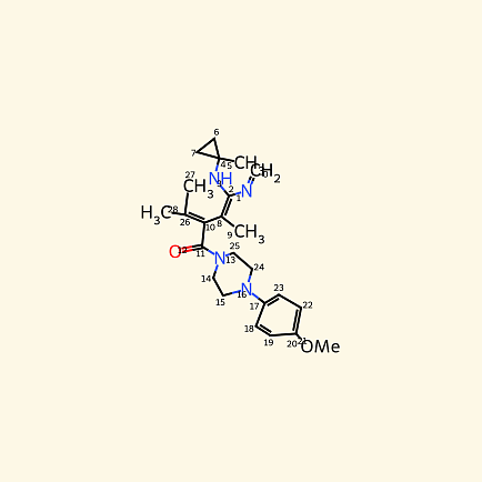 C=N/C(NC1(C)CC1)=C(\C)C(C(=O)N1CCN(c2ccc(OC)cc2)CC1)=C(C)C